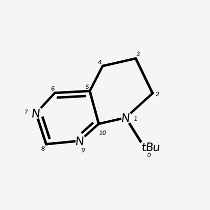 CC(C)(C)N1CCCc2cncnc21